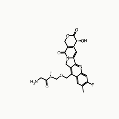 Cc1cc2c(COCNC(=O)CN)c3c(nc2cc1F)-c1cc2c(c(=O)n1C3)COC(=O)[C@H]2O